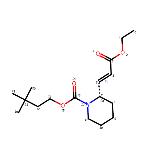 CCOC(=O)/C=C/[C@@H]1CCCCN1C(=O)OCCC(C)(C)C